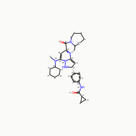 CC1CCCCCN1C(=O)C1=NC2=C[C@H](c3ccc(NC(=O)C4CC4)cc3)NN2C(N(C)C2CCCCC2)=C1